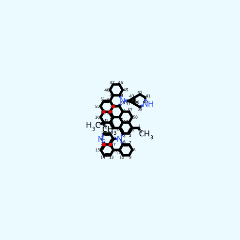 CCC1=CC(N(C2=CCCCC2C2C=CC=CC2)c2ccncc2)=C2C=C3C4=C(CCC3(C)C)CC(N(C3=C5CNCCC53)C3CCCCC3C3=CCCCC3)C3CCC1C2C43